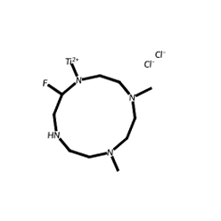 CN1CCNCC(F)[N]([Ti+2])CCN(C)CC1.[Cl-].[Cl-]